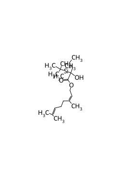 CCCC(O)(C(=O)OCC=C(C)CCC=C(C)C)[Si](C)(C)C(C)(C)C